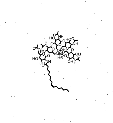 CCCCCC/C=C\CCCCCCCC(=O)NC1C(O)[C@H](O)C(COC(C)=O)O[C@H]1O[C@@H]1C(CO)O[C@@H](O[C@@H]2C(CO)O[C@@H](O[C@@H]3C(CO)O[C@@H](O[C@@H]4C(COS(=O)(=O)O)O[C@@H](O)C(NC(C)=O)C4O)C(NC(C)=O)C3O)C(NC(C)=O)C2O)C(NC(C)=O)C1O